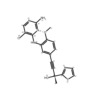 COc1ccc(C#C[C@@](C)(O)c2nccs2)cc1Nc1nc(N)ncc1Cl